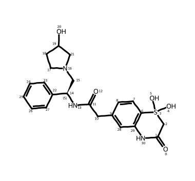 O=C1CS(O)(O)c2ccc(CC(=O)N[C@H](CN3CCC(O)C3)c3ccccc3)cc2N1